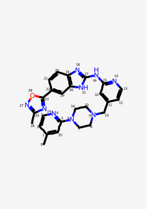 Cc1ccnc(N2CCN(Cc3ccnc(Nc4nc5ccc(-c6nc(C)no6)cc5[nH]4)c3)CC2)c1